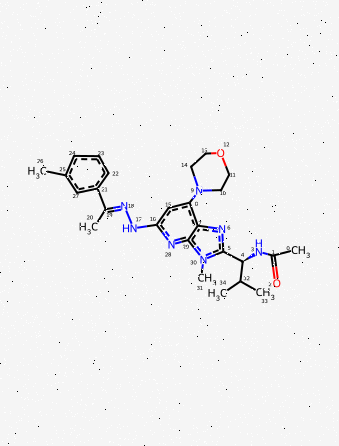 CC(=O)N[C@H](c1nc2c(N3CCOCC3)cc(N/N=C(\C)c3cccc(C)c3)nc2n1C)C(C)C